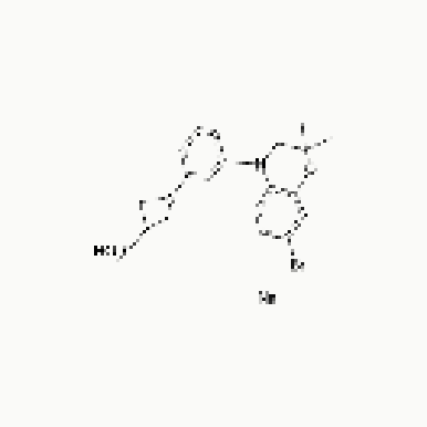 CC1(C)CN(c2cccc(N3CC(C(=O)O)C3)c2)c2ccc(Br)cc2O1.[Na]